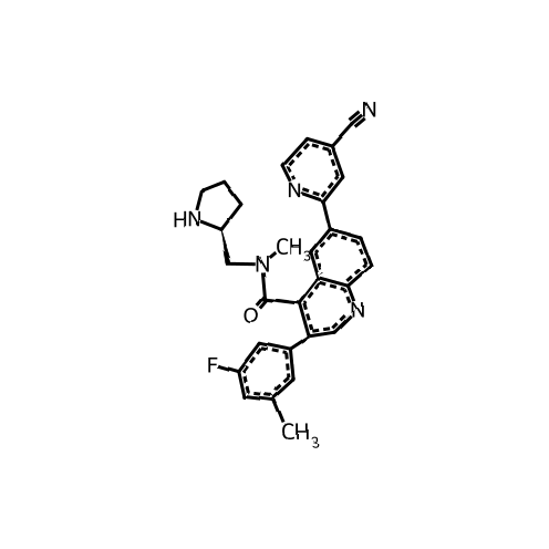 Cc1cc(F)cc(-c2cnc3ccc(-c4cc(C#N)ccn4)cc3c2C(=O)N(C)C[C@@H]2CCCN2)c1